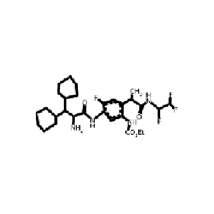 CCOC(=O)Nc1cc(NC(=O)C(N)C(C2CCCCC2)C2CCCCC2)c(F)cc1C(C)C(=O)NC(F)C(F)F